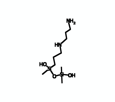 C[Si](C)(O)O[Si](C)(O)CCCNCCCN